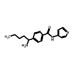 CCCCC(N)c1ccc(C(=O)Nc2ccncc2)cc1